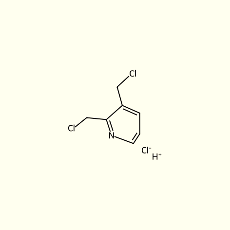 ClCc1cccnc1CCl.[Cl-].[H+]